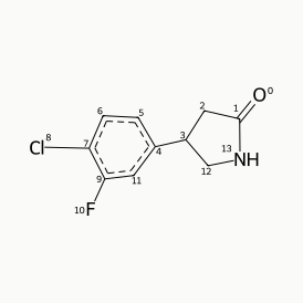 O=C1CC(c2ccc(Cl)c(F)c2)CN1